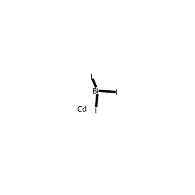 [Cd].[I][Bi]([I])[I]